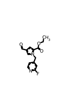 CCOC(=O)c1cc(C=O)cn1Cc1ccnc(F)c1